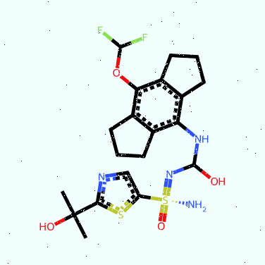 CC(C)(O)c1ncc([S@](N)(=O)=NC(O)Nc2c3c(c(OC(F)F)c4c2CCC4)CCC3)s1